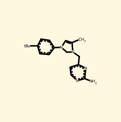 CC1=CN(c2ccc(C(C)(C)C)cc2)CN1Cc1ccnc(N)n1